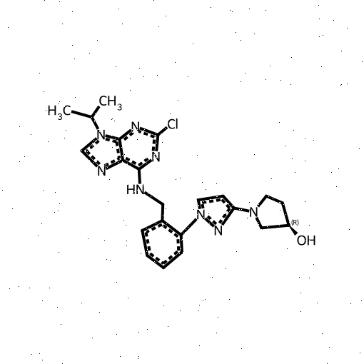 CC(C)n1cnc2c(NCc3ccccc3-n3ccc(N4CC[C@@H](O)C4)n3)nc(Cl)nc21